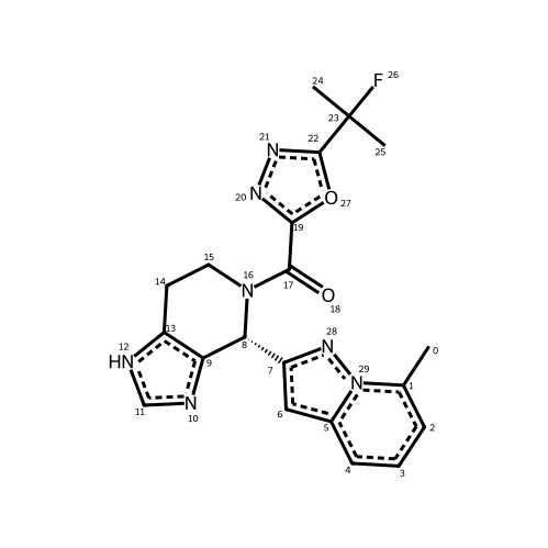 Cc1cccc2cc([C@@H]3c4nc[nH]c4CCN3C(=O)c3nnc(C(C)(C)F)o3)nn12